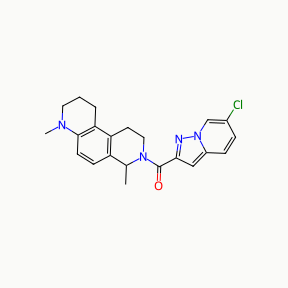 CC1c2ccc3c(c2CCN1C(=O)c1cc2ccc(Cl)cn2n1)CCCN3C